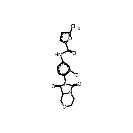 Cc1ccc(C(=O)Nc2ccc(N3C(=O)C4COCCN4C3=O)c(Cl)c2)o1